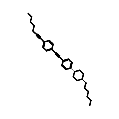 CCCCCC#Cc1ccc(C#Cc2ccc([C@H]3CC[C@H](CCCCCC)CC3)cc2)cc1